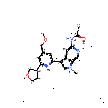 COCc1cc(-c2cn(C)c3cnc(NC(C)=O)cc23)nc(C2CCOC2)c1